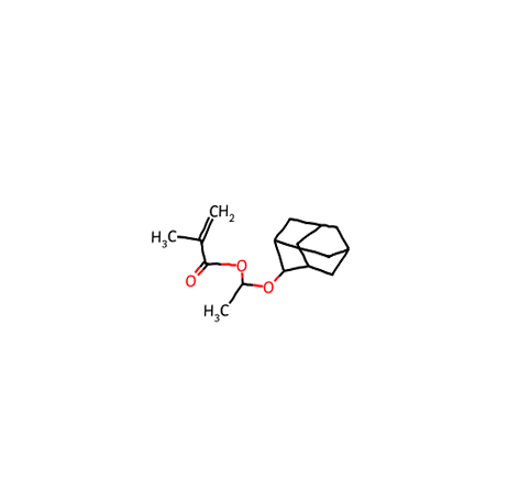 C=C(C)C(=O)OC(C)OC1C2CC3CC(C2)CC1C3